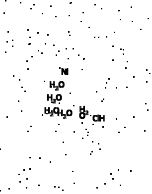 Cl.O.O.O.O.O.[Ni]